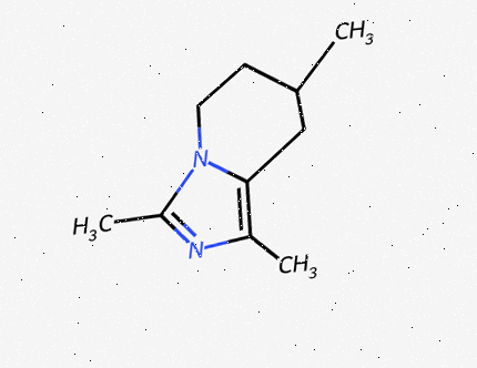 Cc1nc(C)n2c1CC(C)CC2